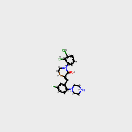 O=C1C(=Cc2cc(F)ccc2N2CCNCC2)SCCN1c1cccc(Cl)c1Cl